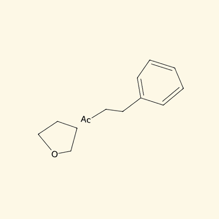 C1CCOC1.CC(=O)CCc1ccccc1